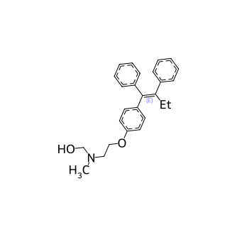 CC/C(=C(/c1ccccc1)c1ccc(OCCN(C)CO)cc1)c1ccccc1